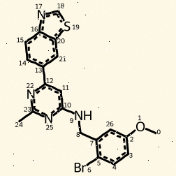 COc1ccc(Br)c(CNc2cc(-c3ccc4ncsc4c3)nc(C)n2)c1